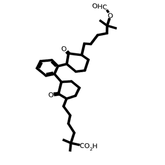 CC(C)(CCCCC1CCCC(c2ccccc2C2CCCC(CCCCC(C)(C)C(=O)O)C2=O)C1=O)OC=O